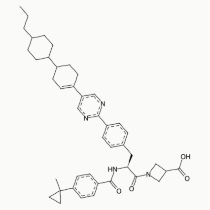 CCCC1CCC(C2CC=C(c3cnc(-c4ccc(C[C@H](NC(=O)c5ccc(C6(C)CC6)cc5)C(=O)N5CC(C(=O)O)C5)cc4)nc3)CC2)CC1